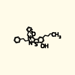 CCCCc1cc(O)c2sc3nc(CCc4ccccc4)n(Cc4cccs4)c(=O)c3c2c1